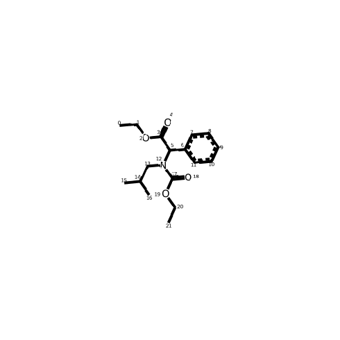 CCOC(=O)C(c1ccccc1)N(CC(C)C)C(=O)OCC